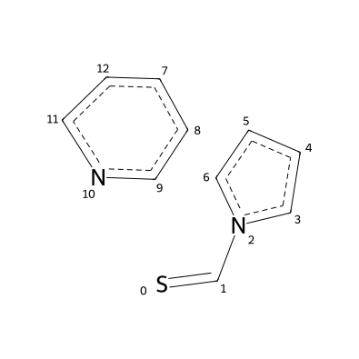 S=Cn1cccc1.c1ccncc1